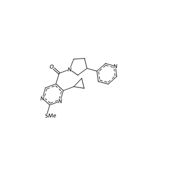 CSc1ncc(C(=O)N2CCC(c3cccnc3)C2)c(C2CC2)n1